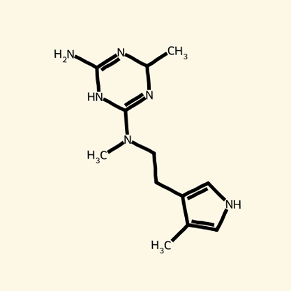 Cc1c[nH]cc1CCN(C)C1=NC(C)N=C(N)N1